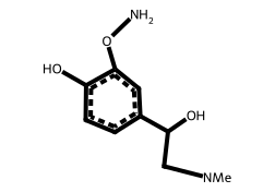 CNCC(O)c1ccc(O)c(ON)c1